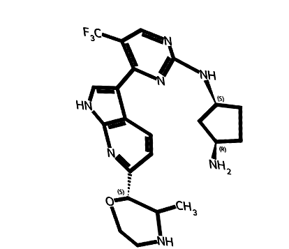 CC1NCCO[C@@H]1c1ccc2c(-c3nc(N[C@H]4CC[C@@H](N)C4)ncc3C(F)(F)F)c[nH]c2n1